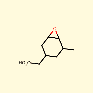 CC1CC(CC(=O)O)CC2OC12